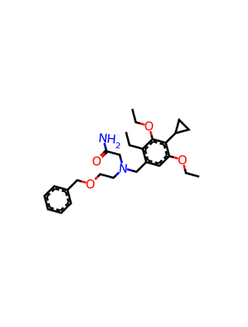 CCOc1cc(CN(CCOCc2ccccc2)CC(N)=O)c(CC)c(OCC)c1C1CC1